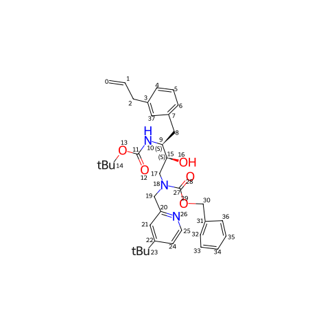 C=CCc1cccc(C[C@H](NC(=O)OC(C)(C)C)[C@@H](O)CN(Cc2cc(C(C)(C)C)ccn2)C(=O)OCc2ccccc2)c1